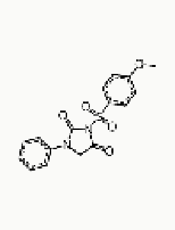 COc1ccc(S(=O)(=O)N2C(=O)CN(c3ccccc3)C2=O)cc1